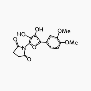 COc1ccc(-c2oc(N3C(=O)CCC3=O)c(O)c2O)cc1OC